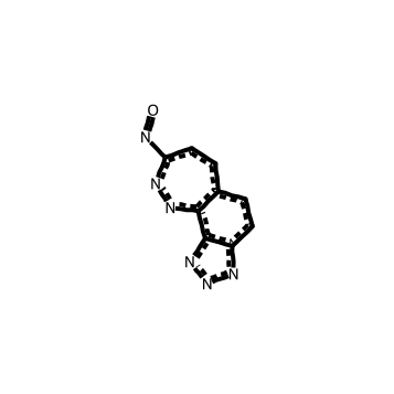 O=Nc1ccc2ccc3nnnc3c2nn1